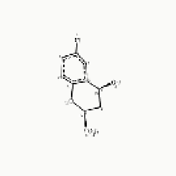 O=C(O)[C@@H]1C[C@H](O)c2cc(Cl)ccc2O1